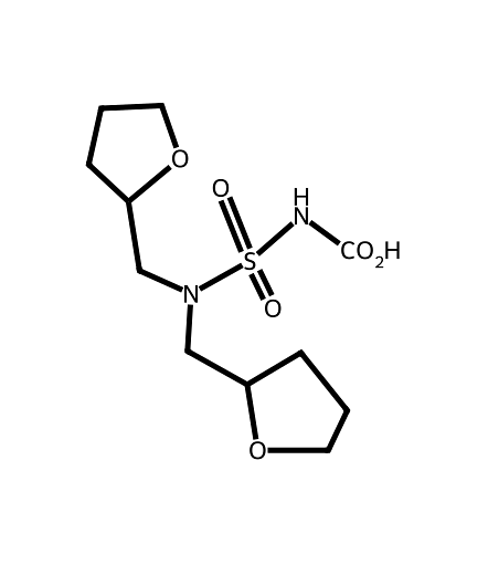 O=C(O)NS(=O)(=O)N(CC1CCCO1)CC1CCCO1